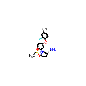 N#Cc1ccc(Oc2cccc([N+]3(S(=O)(=O)CC(F)(F)F)C=C(CN)C=CC3)c2)c(F)c1